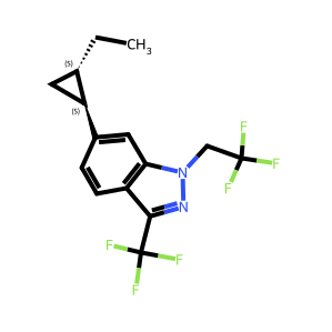 CC[C@H]1C[C@@H]1c1ccc2c(C(F)(F)F)nn(CC(F)(F)F)c2c1